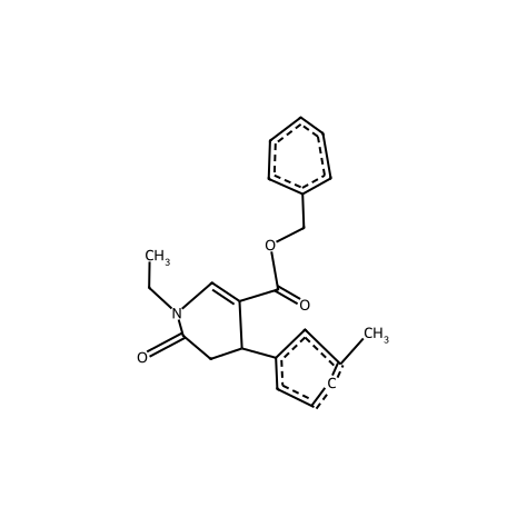 CCN1C=C(C(=O)OCc2ccccc2)C(c2cccc(C)c2)CC1=O